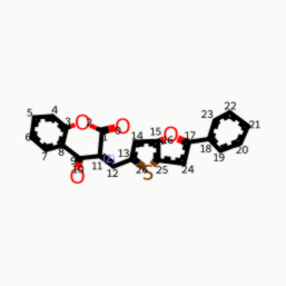 O=C1Oc2ccccc2C(=O)/C1=C/c1cc2oc(-c3ccccc3)cc2s1